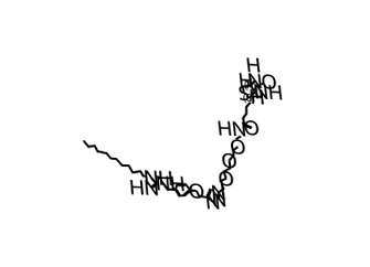 CCCCCCCCCCCCNC(=N)NCc1ccc(OCc2cn(CCOCCOCCOCCNC(=O)CCCC[C@@H]3SC[C@@H]4NC(=O)N[C@@H]43)nn2)cc1